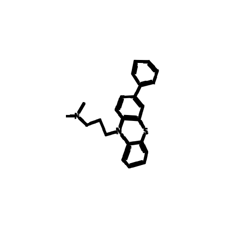 CN(C)CCCN1c2ccccc2Sc2cc(-c3ccccc3)ccc21